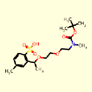 Cc1ccc(S(=O)(=O)O)c(C(C)OCCOCCN(C)C(=O)OC(C)(C)C)c1